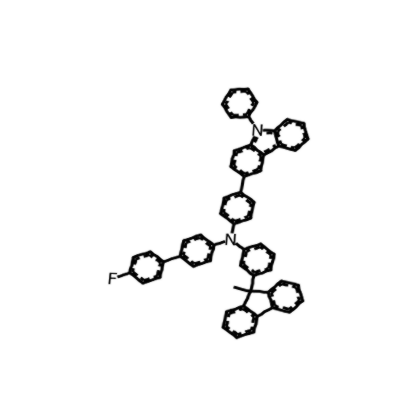 CC1(c2cccc(N(c3ccc(-c4ccc(F)cc4)cc3)c3ccc(-c4ccc5c(c4)c4ccccc4n5-c4ccccc4)cc3)c2)c2ccccc2-c2ccccc21